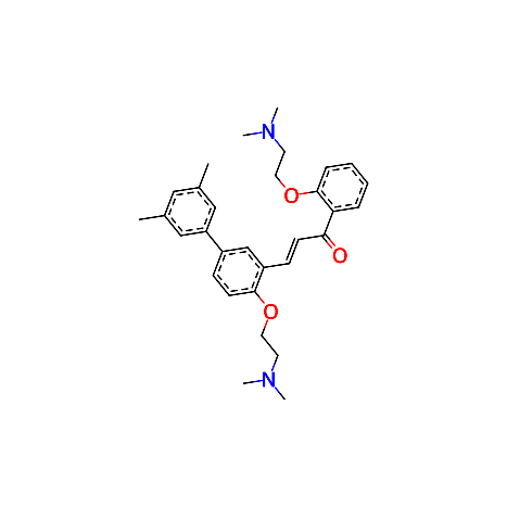 Cc1cc(C)cc(-c2ccc(OCCN(C)C)c(C=CC(=O)c3ccccc3OCCN(C)C)c2)c1